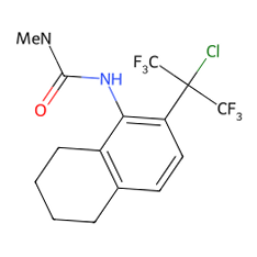 CNC(=O)Nc1c(C(Cl)(C(F)(F)F)C(F)(F)F)ccc2c1CCCC2